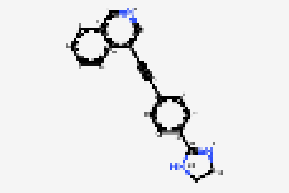 C(#Cc1cncc2ccccc12)c1ccc(C2=NCCN2)cc1